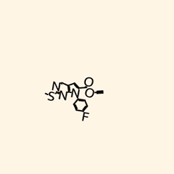 C#COC(=O)c1cc2cnc(SC)nc2n1-c1ccc(F)cc1